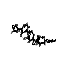 COc1ccc(OC2CCN(c3ncnc(-c4ccoc4)c3C)CC2)cn1